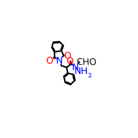 NN(C=O)C(=O)C(CN1C(=O)c2ccccc2C1=O)c1ccccc1